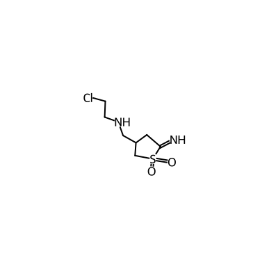 N=C1CC(CNCCCl)CS1(=O)=O